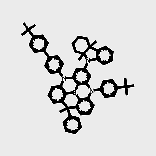 CC(C)(C)c1ccc(-c2ccc(N3c4cc(N5c6ccccc6C6(C)CCCCC56C)cc5c4B4c6c3cccc6C(C)(c3ccccc3)c3cccc(c34)N5c3ccc(C(C)(C)C)cc3)cc2)cc1